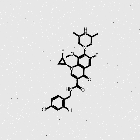 COc1c(N2CC(C)NC(C)C2)c(F)cc2c(=O)c(C(=O)NCc3ccc(Cl)cc3Cl)cn([C@H]3C[C@H]3F)c12